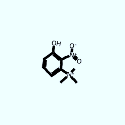 C[N+](C)(C)c1cccc(O)c1[N+](=O)[O-]